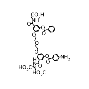 Nc1ccc(C(=O)Oc2cc(OCCOCCOc3cc(OC(=O)c4ccccc4)cc(C(=O)NCC(=O)O)c3)cc(C(=O)N[C@@H](CC(=O)O)C(=O)O)c2)cc1